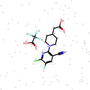 N#Cc1cc(F)c(Cl)nc1N1CCC(CC(=O)O)CC1.O=C(O)C(F)(F)F